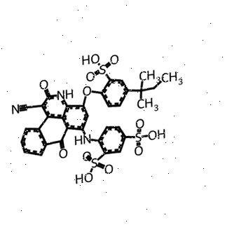 CCC(C)(C)c1ccc(Oc2cc(Nc3ccc(S(=O)(=O)O)cc3S(=O)(=O)O)c3c4c(c(C#N)c(=O)[nH]c24)-c2ccccc2C3=O)c(S(=O)(=O)O)c1